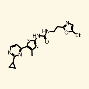 CCc1cnc(CCNC(=O)Nc2nc(C)c(-c3ccnc(C4CC4)n3)s2)o1